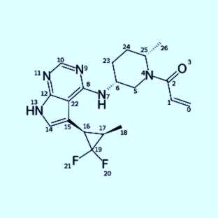 C=CC(=O)N1C[C@H](Nc2ncnc3[nH]cc([C@H]4[C@@H](C)C4(F)F)c23)CC[C@@H]1C